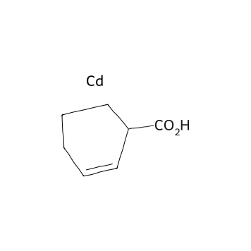 O=C(O)C1C=CCCC1.[Cd]